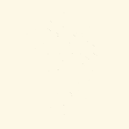 Cc1nn(-c2ccccc2)nc1CNC(=O)c1nnn(-c2ccc(C(=O)NCC(F)(F)F)cc2)c1COCc1ccccc1